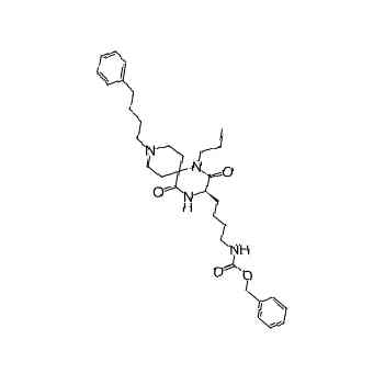 CCCN1C(=O)[C@@H](CCCCNC(=O)OCc2ccccc2)NC(=O)C12CCN(CCCCc1ccccc1)CC2